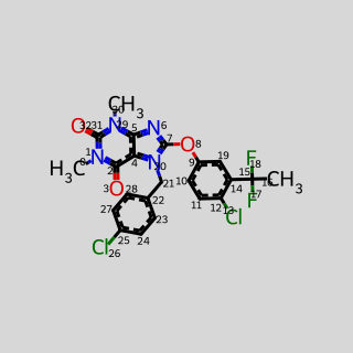 Cn1c(=O)c2c(nc(Oc3ccc(Cl)c(C(C)(F)F)c3)n2Cc2ccc(Cl)cc2)n(C)c1=O